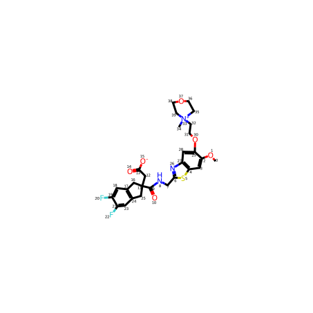 COc1cc2sc(CNC(=O)C3(CC(=O)[O-])Cc4cc(F)c(F)cc4C3)nc2cc1OCC[N+]1(C)CCOCC1